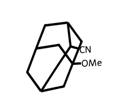 COC12CC3CC(C1)C(C#N)C(C3)C2